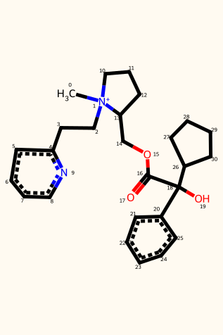 C[N+]1(CCc2ccccn2)CCCC1COC(=O)C(O)(c1ccccc1)C1CCCC1